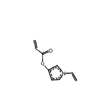 C=CC(=O)Oc1ccn(C=C)c1